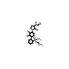 CCOP(C)(=O)c1ccccc1-c1ccc(N2CCC(NC=O)C2=O)c(F)c1F